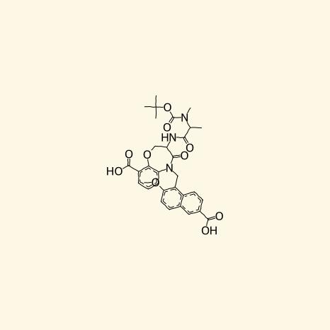 COc1ccc2cc(C(=O)O)ccc2c1CN1C(=O)C(NC(=O)C(C)N(C)C(=O)OC(C)(C)C)COc2c(C(=O)O)cccc21